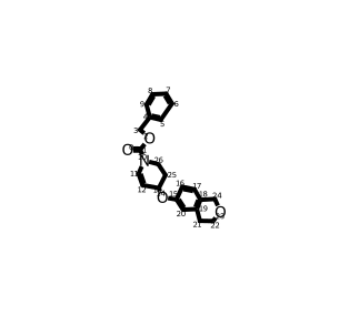 O=C(OCc1ccccc1)N1C=CC(Oc2ccc3c(c2)CCOC3)CC1